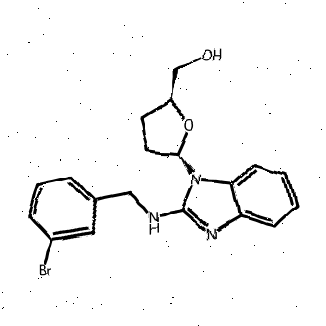 OC[C@@H]1CC[C@H](n2c(NCc3cccc(Br)c3)nc3ccccc32)O1